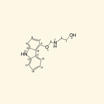 OCCNCOc1cccc2[nH]c3ccccc3c12